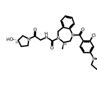 C[C@@H]1CN(C(=O)c2ccc(N3CCCC3)cc2Cl)c2ccccc2CN1C(=O)NCC(=O)N1CC[C@H](O)C1